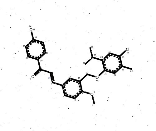 COc1ccc(/C=C/C(=O)c2ccc(O)cc2)cc1COc1cc(C)c(Cl)cc1C(C)C